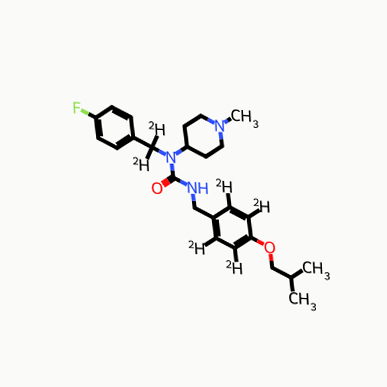 [2H]c1c([2H])c(OCC(C)C)c([2H])c([2H])c1CNC(=O)N(C1CCN(C)CC1)C([2H])([2H])c1ccc(F)cc1